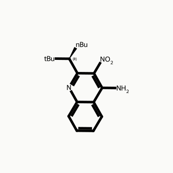 CCCC[C@@H](c1nc2ccccc2c(N)c1[N+](=O)[O-])C(C)(C)C